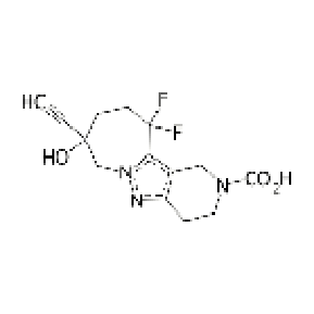 C#CC1(O)CCC(F)(F)c2c3c(nn2C1)CCN(C(=O)O)C3